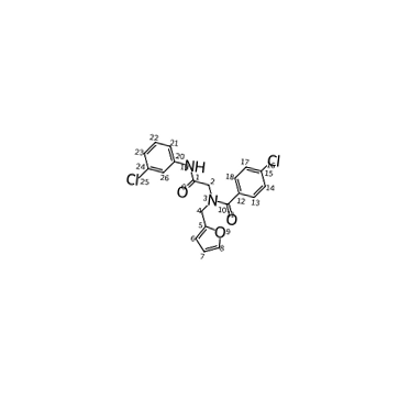 O=C(CN(Cc1ccco1)C(=O)c1ccc(Cl)cc1)Nc1cccc(Cl)c1